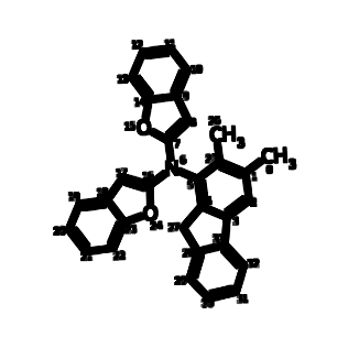 Cc1cc2c(c(N(c3cc4ccccc4o3)c3cc4ccccc4o3)c1C)Cc1ccccc1-2